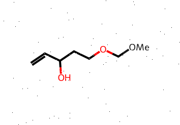 C=CC(O)CCOCOC